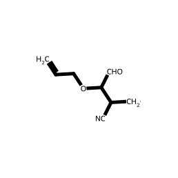 [CH2]C(C#N)C(C=O)OCC=C